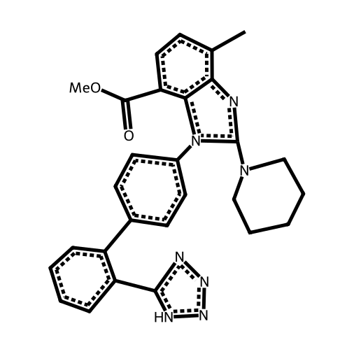 COC(=O)c1ccc(C)c2nc(N3CCCCC3)n(-c3ccc(-c4ccccc4-c4nnn[nH]4)cc3)c12